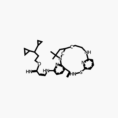 C=C1NSc2cccc(n2)NCCCC2CN(c3nc(N/C=C\C(=N)OCCC(C4CC4)C4CC4)ccc31)C(C)(C)C2